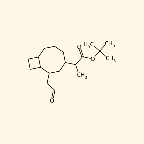 CC(C(=O)OC(C)(C)C)C1CCCC2CCC2C(CC=O)C1